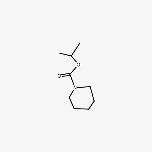 CC(C)OC(=O)N1CC[CH]CC1